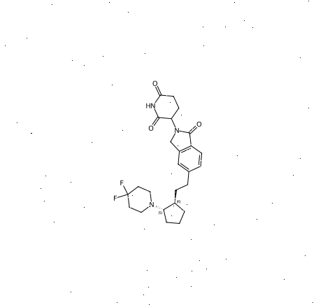 O=C1CCC(N2Cc3cc(CC[C@H]4CCC[C@@H]4N4CCC(F)(F)CC4)ccc3C2=O)C(=O)N1